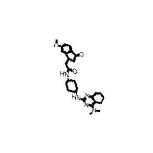 COc1ccc2c(c1)C(CC(=O)N[C@H]1CC[C@@H](Nc3nc4c(c(N(C)C)n3)CCCC4)CC1)CC2=O